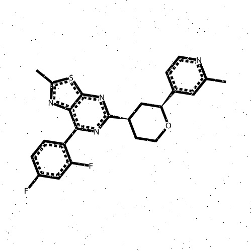 Cc1cc([C@@H]2C[C@H](c3nc(-c4ccc(F)cc4F)c4nc(C)sc4n3)CCO2)ccn1